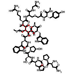 CCCC[C@@H](C(=O)N(C)[C@@H](CCSC)C(=O)N[C@@H](CCCNC(=N)N)C(=O)NC(CSCC(=O)N[C@@H](Cc1ccc(O)cc1)C(=O)NC)C(=O)NCC(N)=O)N(C)C(=O)[C@H](Cc1c[nH]c2ccccc12)NC(=O)[C@H](CO)NC(=O)[C@H](Cc1c[nH]c2ccccc12)NC(=O)[C@@H]1C[C@@H](O)CN1C(=O)[C@H](CO)NC(=O)[C@H](Cc1cnc[nH]1)NC(=O)[C@@H]1CCCN1C(=O)[C@@H](N)CC(N)=O